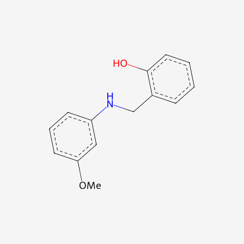 COc1cccc(NCc2ccccc2O)c1